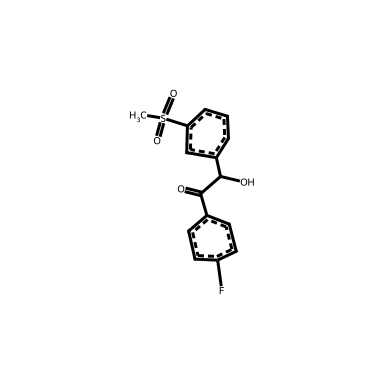 CS(=O)(=O)c1cccc(C(O)C(=O)c2ccc(F)cc2)c1